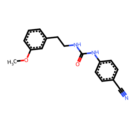 COc1cccc(CCNC(=O)Nc2ccc(C#N)cc2)c1